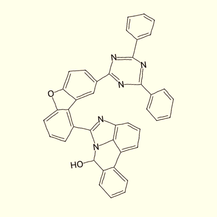 OC1c2ccccc2-c2cccc3nc(-c4cccc5oc6ccc(-c7nc(-c8ccccc8)nc(-c8ccccc8)n7)cc6c45)n1c23